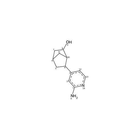 Nc1cc(C2CC3CC(O)C2C3)ccn1